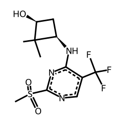 CC1(C)[C@@H](O)C[C@H]1Nc1nc(S(C)(=O)=O)ncc1C(F)(F)F